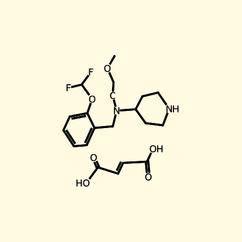 COCCN(Cc1ccccc1OC(F)F)C1CCNCC1.O=C(O)C=CC(=O)O